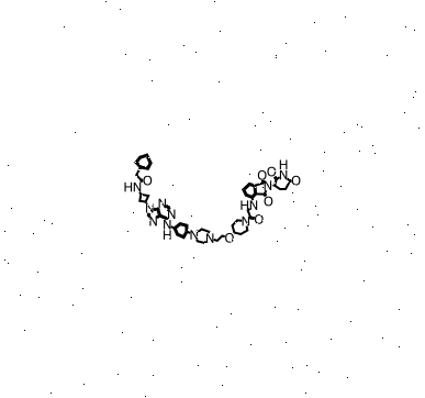 O=C1CC[C@H](N2C(=O)c3cccc(NCC(=O)N4CCC(OCCN5CCN(c6ccc(Nc7ncnc8c7ncn8C7CC(NC(=O)Cc8ccccc8)C7)cc6)CC5)CC4)c3C2=O)C(=O)N1